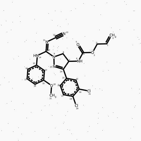 C=CCOC(=O)NC1CN(/C(=N\C#N)Nc2cccc(OC)c2)N=C1c1ccc(Cl)c(Cl)c1